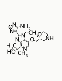 CCn1c(-c2nonc2N)nc2c(C(C)(C)O)ncc(OC[C@@H]3CNCCO3)c21